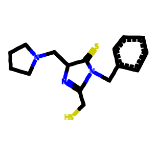 S=C1C(CN2CCCC2)N=C(CS)N1Cc1ccccc1